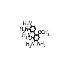 COc1cc(N)c(N)c(OC)c1-c1ccc(N)c(N)c1